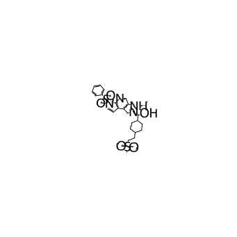 CS(=O)(=O)CCC1CCC(C(O)N2Cc3c(cnc4c3ccn4S(=O)(=O)c3ccccc3)N2)CC1